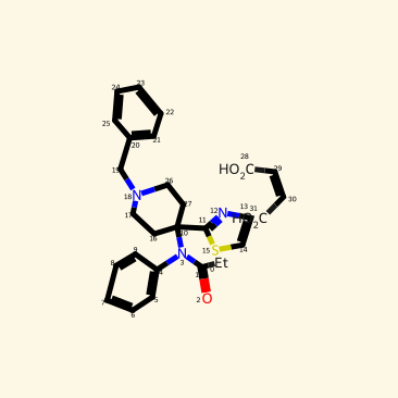 CCC(=O)N(c1ccccc1)C1(c2nccs2)CCN(Cc2ccccc2)CC1.O=C(O)/C=C\C(=O)O